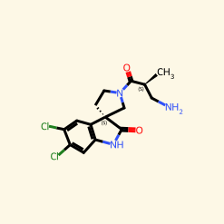 C[C@@H](CN)C(=O)N1CC[C@]2(C1)C(=O)Nc1cc(Cl)c(Cl)cc12